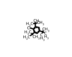 CC(C)(C)c1cc(C(C)(C)C)c(Cl)c(C(C)(C)C)c1